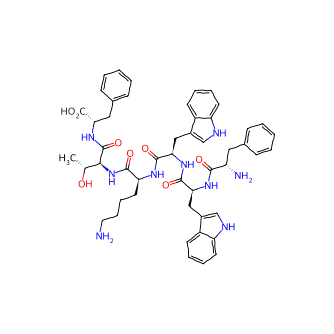 C[C@@H](O)[C@H](NC(=O)[C@H](CCCCN)NC(=O)[C@@H](Cc1c[nH]c2ccccc12)NC(=O)[C@H](Cc1c[nH]c2ccccc12)NC(=O)[C@@H](N)Cc1ccccc1)C(=O)N[C@@H](Cc1ccccc1)C(=O)O